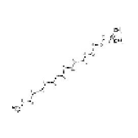 CCCCCCCCCCCCCCCCCC[SH](C)C